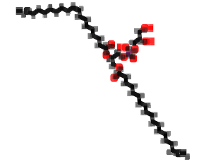 CCCCCCCC/C=C\CCCCCCCC(=O)O[C@H](COC(=O)CCCCCCCCCCCCCCCCC)COP(=O)(O)OC[C@@H](O)CO